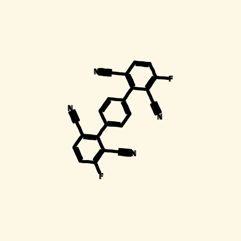 N#Cc1ccc(F)c(C#N)c1-c1ccc(-c2c(C#N)ccc(F)c2C#N)cc1